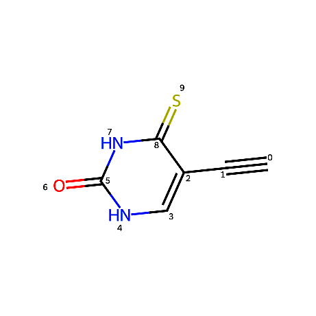 C#Cc1c[nH]c(=O)[nH]c1=S